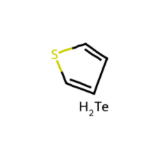 [TeH2].c1ccsc1